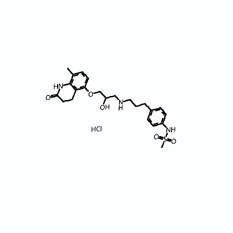 Cc1ccc(OCC(O)CNCCCc2ccc(NS(C)(=O)=O)cc2)c2c1NC(=O)CC2.Cl